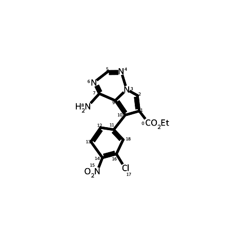 CCOC(=O)c1cn2ncnc(N)c2c1-c1ccc([N+](=O)[O-])c(Cl)c1